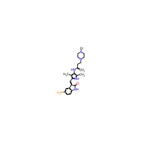 C=C(CCN1CCN(CC)CC1)Nc1c(C)[nH]c(/C=C2\C(=O)Nc3ccc(P)cc32)c1C